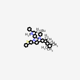 C=C1C=C(c2ccccc2)N(C)c2cc3c(cc21)B1c2c(ccc4c5cc6c(cc5n-3c24)sc2ccccc26)-c2cc3c(cc2N1c1ccc(C(C)(C)C)cc1)C(C)(C)c1cc2c(cc1-3)C(C)(C)CCC2(C)C